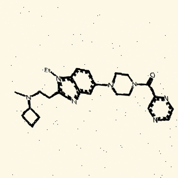 CCn1c(CCN(C)C2CCC2)nc2cc(N3CCN(C(=O)c4cnccn4)CC3)ccc21